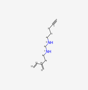 C#CCCCNCNCCC(=C)C=C